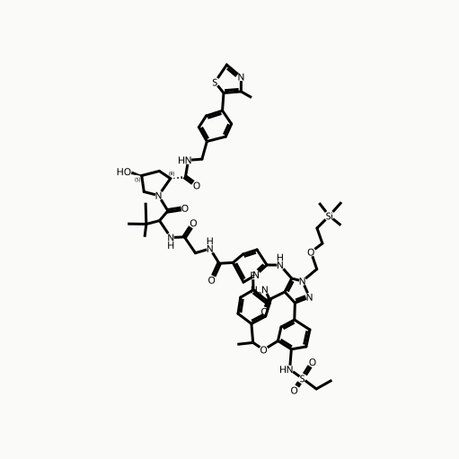 CCS(=O)(=O)Nc1ccc(-c2nn(COCC[Si](C)(C)C)c(Nc3ccc(C(=O)NCC(=O)NC(C(=O)N4C[C@@H](O)C[C@@H]4C(=O)NCc4ccc(-c5scnc5C)cc4)C(C)(C)C)cn3)c2C(N)=O)cc1OC(C)c1ccc(F)cc1